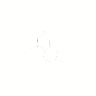 O=[N+]([O-])c1ccc2c(O)cncc2c1